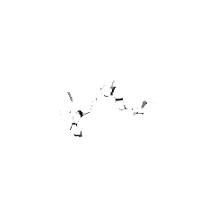 CC(=O)Nc1ccc(-c2cncc(OC[C@H](N)Cc3c[nH]c4ccccc34)c2)cc1